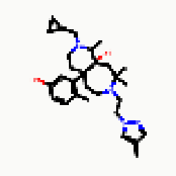 Cc1cnn(CCN2CCC3(c4cc(O)ccc4C)CCN(CC4CC4)C(C)C3(O)CC2(C)C)c1